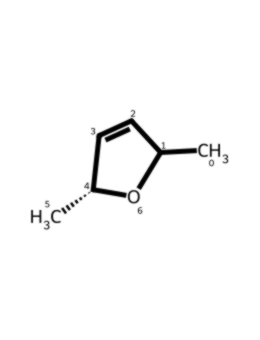 CC1C=C[C@@H](C)O1